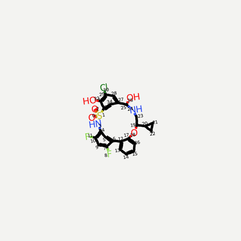 O=S1(=O)Nc2cc(c(F)cc2F)-c2ccccc2OC(C2CC2)CNC(O)c2cc(Cl)c(O)c1c2